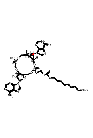 CCCCCCCCCCCCCCCCCCOC(=O)OCSP1(=O)OC[C@H]2O[C@@H](n3cnc4c(N)ncnc43)[C@H](F)[C@@H]2OCP(=O)(O)OC[C@H]2O[C@@H](n3cnc4c(=O)[nH]cnc43)[C@H](O1)[C@@H]2F